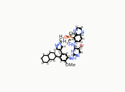 COc1cc(C2CCC3CCCCC3C2)c(-c2cnn(C)c2)cc1Nc1ncc(Br)c(Nc2ccc3nccnc3c2P(C)(C)=O)n1